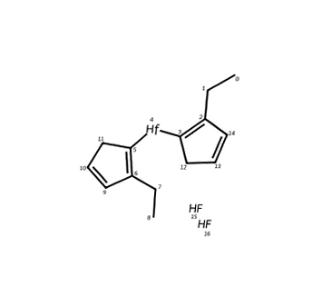 CCC1=[C]([Hf][C]2=C(CC)C=CC2)CC=C1.F.F